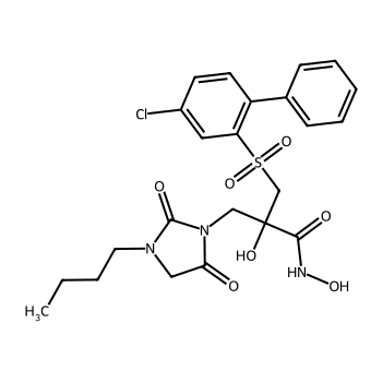 CCCCN1CC(=O)N(CC(O)(CS(=O)(=O)c2cc(Cl)ccc2-c2ccccc2)C(=O)NO)C1=O